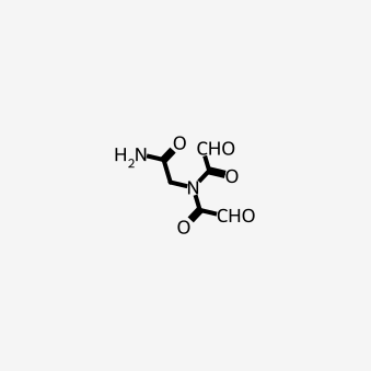 NC(=O)CN(C(=O)C=O)C(=O)C=O